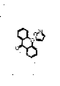 O=c1c2ccccc2oc2ccccc12.c1cnoc1